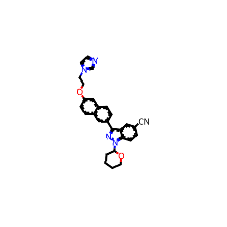 N#Cc1ccc2c(c1)c(-c1ccc3cc(OCCn4ccnc4)ccc3c1)nn2C1CCCCO1